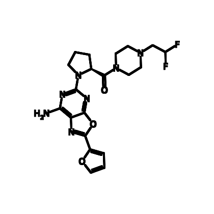 Nc1nc(N2CCC[C@H]2C(=O)N2CCN(CC(F)F)CC2)nc2oc(-c3ccco3)nc12